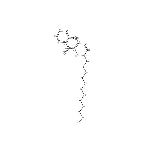 CCCCCCCCCCCCC1C=Cc2oc3ccccc3c(=O)c2S1